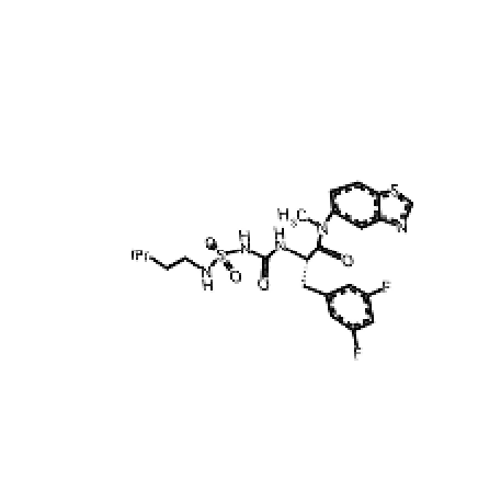 CC(C)CCNS(=O)(=O)NC(=O)N[C@@H](Cc1cc(F)cc(F)c1)C(=O)N(C)c1ccc2scnc2c1